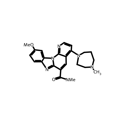 CNC(=O)c1cc2c(N3CCCN(C)CC3)ccnc2n2c1nc1ccc(OC)cc12